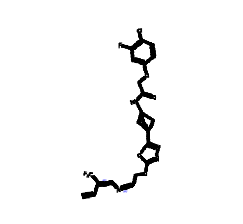 C=C/C(=C\N=C/COc1nnc(C23CC(NC(=O)COc4ccc(Cl)c(F)c4)(C2)C3)o1)C(F)(F)F